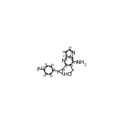 Nc1c(CO)c(C2CC2c2ccc(F)cc2)nc2ccnn12